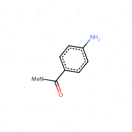 [CH]NC(=O)c1ccc(N)cc1